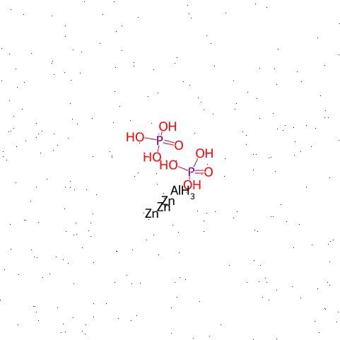 O=P(O)(O)O.O=P(O)(O)O.[AlH3].[Zn].[Zn].[Zn]